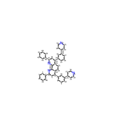 c1ccc(-c2cc(-c3cccc(-c4ccncc4)c3)c3ccc4c(-c5cccc(-c6ccncc6)c5)cc(-c5ccccc5)nc4c3n2)cc1